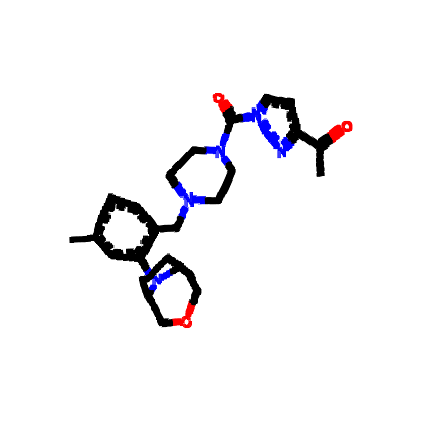 CC(=O)c1ccn(C(=O)N2CCN(Cc3ccc(C)cc3N3C4CCC3COC4)CC2)n1